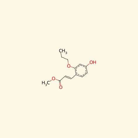 CCCOc1cc(O)ccc1C=CC(=O)OC